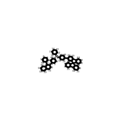 c1ccc(-c2c(-c3ccc(N(c4ccccc4)c4ccc(-c5ccc6c(c5)C5(c7ccccc7-c7ccccc75)c5ccccc5-6)cc4)cc3)ccc3ccccc23)cc1